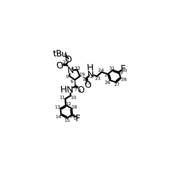 CC(C)(C)OC(=O)N1C[C@H](C(=O)NCCc2cccc(F)c2)[C@@H](C(=O)NCCc2cccc(F)c2)C1